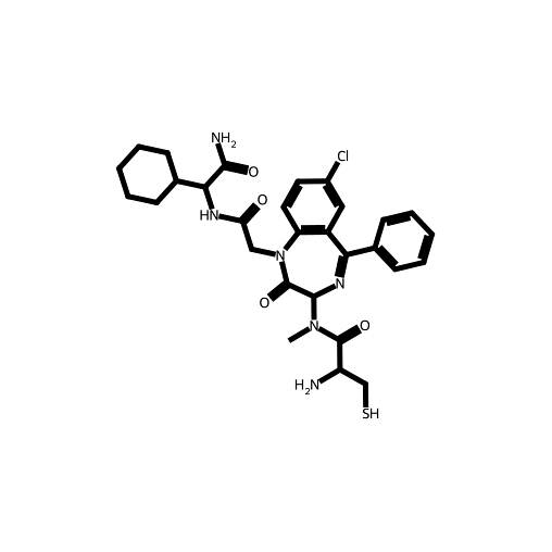 CN(C(=O)C(N)CS)C1N=C(c2ccccc2)c2cc(Cl)ccc2N(CC(=O)NC(C(N)=O)C2CCCCC2)C1=O